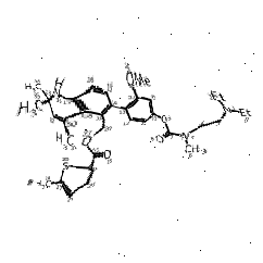 CCN(CC)CCN(C)C(=O)Oc1ccc(-c2ccc3c(c2COC(=O)C2CC=C(C)S2)C(C)=CC(C)(C)N3)c(OC)c1